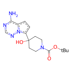 CC(C)(C)OC(=O)N1CCC(O)(c2ccc3c(N)ncnn23)CC1